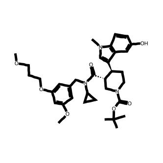 COCCCOc1cc(CN(C(=O)[C@H]2CN(C(=O)OC(C)(C)C)CC[C@@H]2c2cn(C)c3ccc(O)cc23)C2CC2)cc(OC)c1